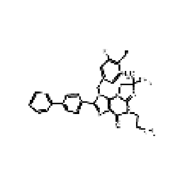 CCCN1C(=O)c2nc(-c3ccc(-c4ccccc4)cc3)n(Cc3ccc(F)c(F)c3)c2N2CC(C)(C)N=C12